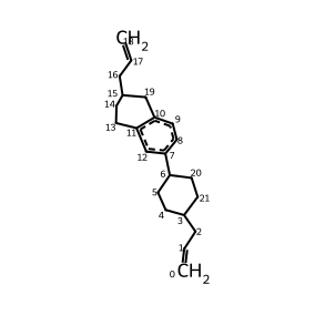 C=CCC1CCC(c2ccc3c(c2)CCC(CC=C)C3)CC1